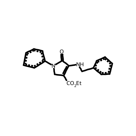 CCOC(=O)C1=C(NCc2ccccc2)C(=O)N(c2ccccc2)C1